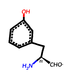 N[C@H]([C]=O)Cc1cccc(O)c1